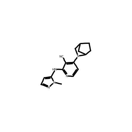 Cn1nccc1Nc1nccc(N2CC3CCC2C3)c1C#N